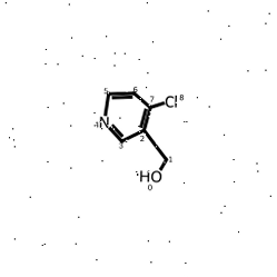 OCc1[c]nccc1Cl